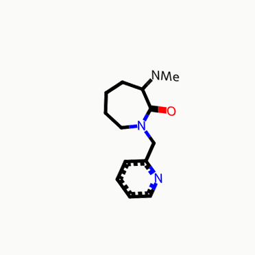 CNC1CCCCN(Cc2ccccn2)C1=O